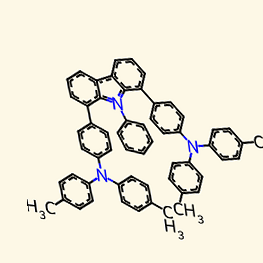 Cc1ccc(N(c2ccc(C)cc2)c2ccc(-c3cccc4c5cccc(-c6ccc(N(c7ccc(C)cc7)c7ccc(C)cc7)cc6)c5n(-c5ccccc5)c34)cc2)cc1